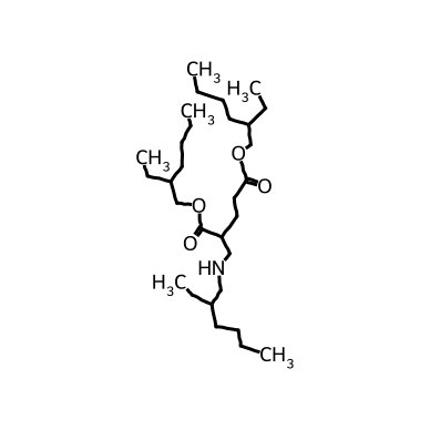 CCCCC(CC)CNCC(CCC(=O)OCC(CC)CCCC)C(=O)OCC(CC)CCCC